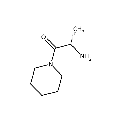 C[C@H](N)C(=O)N1CCCCC1